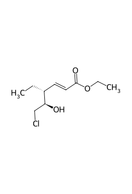 CCOC(=O)/C=C/[C@@H](CC)[C@@H](O)CCl